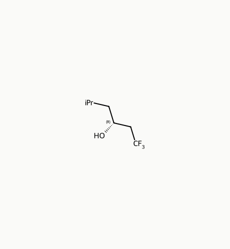 CC(C)C[C@@H](O)CC(F)(F)F